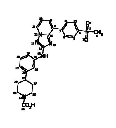 CS(=O)(=O)c1ccc(-c2cccn3nc(Nc4cccc(C5CCN(C(=O)O)CC5)c4)nc23)cc1